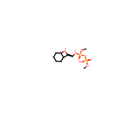 COP(=O)(O)OP(=O)(OC)O/C=C1\OC2CCCCC12